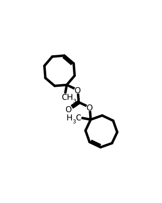 CC1(OC(=O)OC2(C)C/C=C\CCCC2)C/C=C\CCCC1